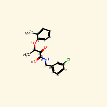 COc1ccccc1OC(C)C(=O)C(=O)NCc1cccc(Cl)c1